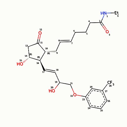 CCNC(=O)CCCC=CC[C@H]1C(=O)C[C@@H](O)[C@@H]1C=CC(O)COc1cccc(C(F)(F)F)c1